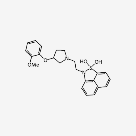 COc1ccccc1OC1CCN(CCN2c3cccc4cccc(c34)S2(O)O)C1